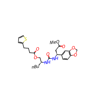 CCCC[C@@H](COC(=O)CCCc1cccs1)NC(=O)N[C@@H](CC(=O)OC)c1ccc2c(c1)OCO2